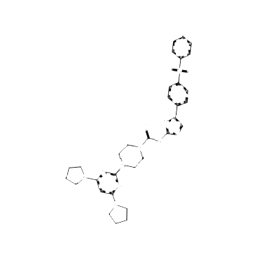 O=C(Nc1nc(-c2ccc(S(=O)(=O)c3ccccc3)cc2)cs1)N1CCN(c2nc(N3CCCC3)cc(N3CCCC3)n2)CC1